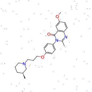 COc1ccc2nc(C)n(-c3ccc(OCCCN4CCC[C@H](C)C4)cc3)c(=O)c2c1